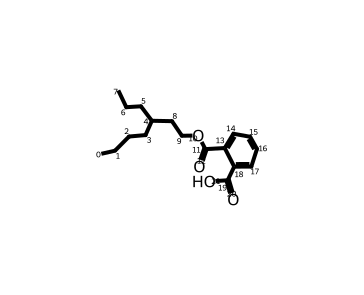 CCCCC(CCC)CCOC(=O)c1ccccc1C(=O)O